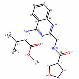 COC(=O)[C@@H](Nc1nc(CNC(=O)C2CCOC2)nc2ccccc12)C(C)C